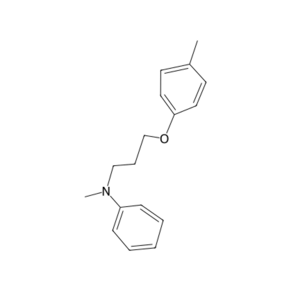 Cc1ccc(OCCCN(C)c2ccccc2)cc1